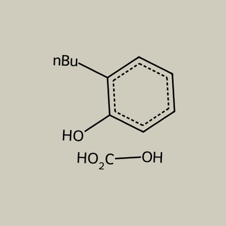 CCCCc1ccccc1O.O=C(O)O